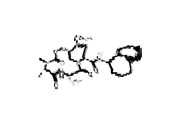 CC(C)[C@H](NC(=O)[C@H](C)N(C)C(=O)OC(C)(C)C)C(=O)N1CCN(C(=O)O)C[C@H]1C(=O)N[C@@H]1CCCc2ccccc21